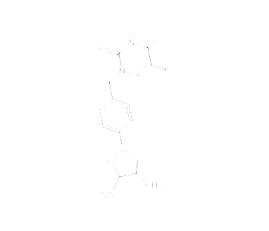 CC1OB(c2ccc(Cn3cc(F)c(=O)[nH]c3=O)cc2)OC1C